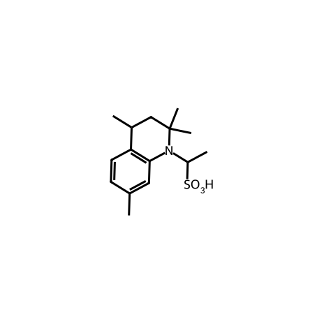 Cc1ccc2c(c1)N(C(C)S(=O)(=O)O)C(C)(C)CC2C